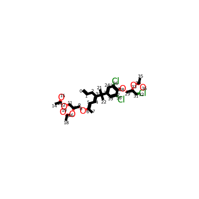 C=CC/C(=C\C=C(/C)OCC(COC(C)=O)OC(C)=O)C(C)(C)c1cc(Cl)c(OCC(CCl)OC(C)=O)c(Cl)c1